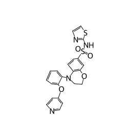 O=S(=O)(Nc1nccs1)c1ccc2c(c1)OCCN2c1ccccc1Oc1ccncc1